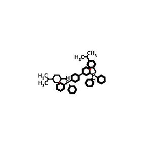 CC(C)c1ccc(C[PH](c2ccccc2)(c2ccccc2)c2cccc(-c3ccc([PH](CC4CCC(C(C)C)CC4)(c4ccccc4)c4ccccc4)cc3)c2)cc1